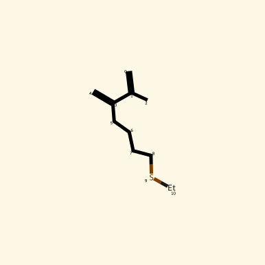 C=C(C)C(=C)CCCCSCC